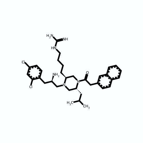 CC(C)C[C@@H]1CN(C[C@H](N)Cc2ccc(Cl)cc2Cl)[C@@H](CCCCNC(=N)N)CN1C(=O)Cc1ccc2ccccc2c1